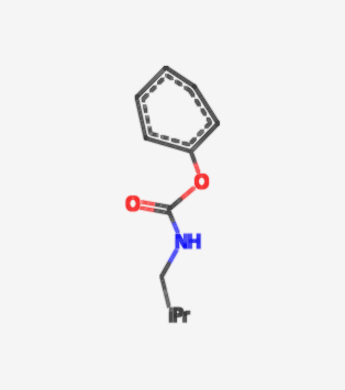 CC(C)CNC(=O)Oc1ccccc1